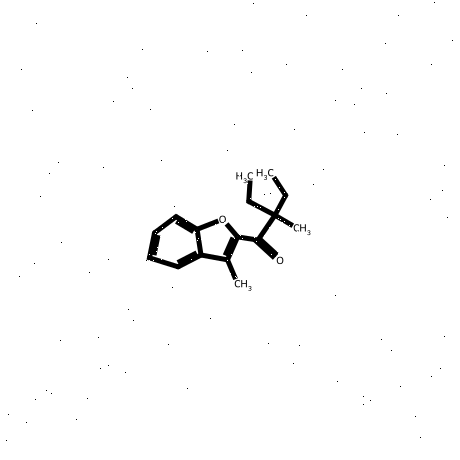 CCC(C)(CC)C(=O)c1oc2ccccc2c1C